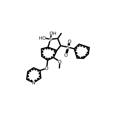 COc1c(Oc2cccnc2)ccc2c1C(S(=O)(=O)c1ccccc1)C(C)S2(O)O